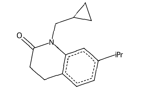 CC(C)c1ccc2c(c1)N(CC1CC1)C(=O)CC2